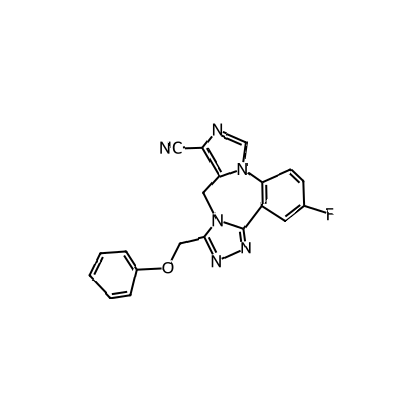 N#Cc1ncn2c1Cn1c(COc3ccccc3)nnc1-c1cc(F)ccc1-2